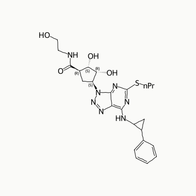 CCCSc1nc(NC2CC2c2ccccc2)c2nnn([C@H]3C[C@@H](C(=O)NCCO)[C@H](O)[C@@H]3O)c2n1